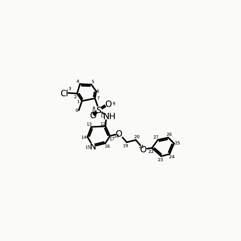 Cc1c(Cl)cccc1S(=O)(=O)Nc1ccncc1OCCOc1ccccc1